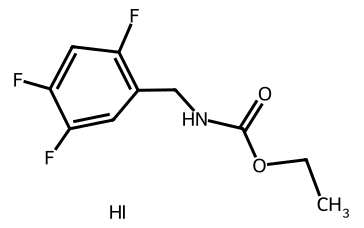 CCOC(=O)NCc1cc(F)c(F)cc1F.I